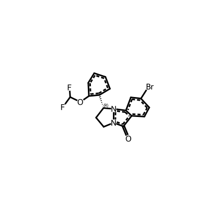 O=c1c2ccc(Br)cc2n2n1CC[C@@H]2c1ccccc1OC(F)F